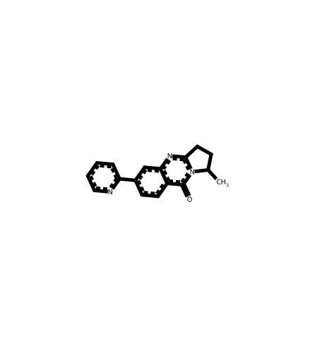 CC1CCc2nc3cc(-c4ccccn4)ccc3c(=O)n21